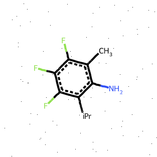 Cc1c(N)c(C(C)C)c(F)c(F)c1F